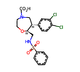 O=C(O)N1CCO[C@H](CNS(=O)(=O)c2ccccc2)[C@@H](c2ccc(Cl)c(Cl)c2)C1